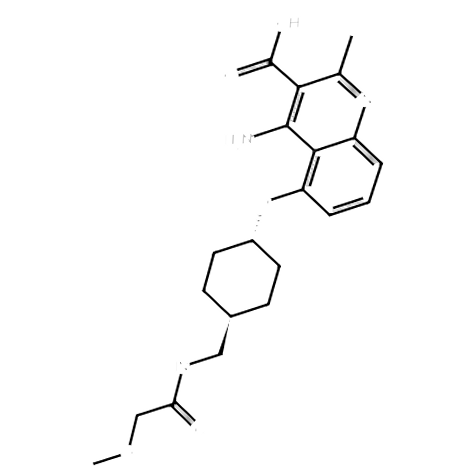 COCC(=O)NC[C@H]1CC[C@H](Oc2cccc3nc(C)c(C(=O)O)c(N)c23)CC1